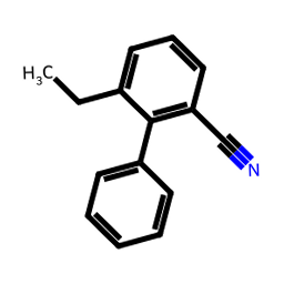 CCc1cccc(C#N)c1-c1ccccc1